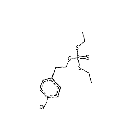 CCSP(=S)(OCCc1ccc(Br)cc1)SCC